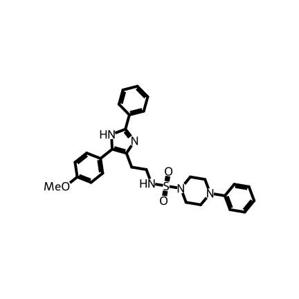 COc1ccc(-c2[nH]c(-c3ccccc3)nc2CCNS(=O)(=O)N2CCN(c3ccccc3)CC2)cc1